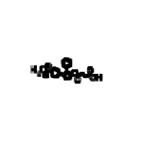 CS(=O)(=O)c1ccc(C2=C(c3ccccc3)C(OC(=O)CCC(=O)O)CC2)cc1